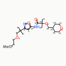 COCCOCC(C)(C)c1cc(NC(=O)C(C)(C)OCC2CCOCC2)on1